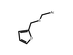 CC(=O)CSCc1ccco1